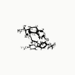 CN1CCN(c2ccc(OC(F)(F)F)c(Nc3ncc4c(n3)-c3c(c(C(N)=O)cn3CCO)CC4)c2)CC1